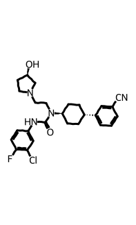 N#Cc1cccc([C@H]2CC[C@H](N(CCN3CC[C@@H](O)C3)C(=O)Nc3ccc(F)c(Cl)c3)CC2)c1